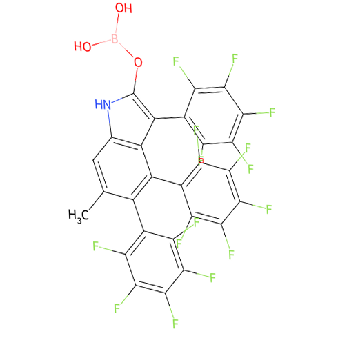 Cc1cc2[nH]c(OB(O)O)c(-c3c(F)c(F)c(F)c(F)c3F)c2c(-c2c(F)c(F)c(F)c(F)c2F)c1-c1c(F)c(F)c(F)c(F)c1F